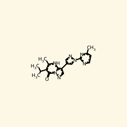 Cc1ccnc(-n2cc(-c3cnn4c(=O)c(C(C)C)c(C)[nH]c34)cn2)n1